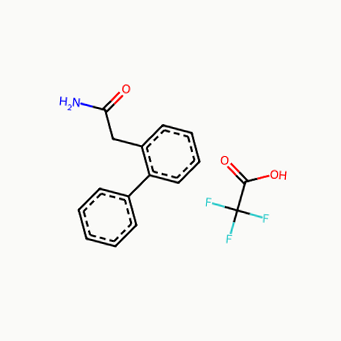 NC(=O)Cc1ccccc1-c1ccccc1.O=C(O)C(F)(F)F